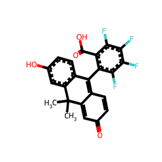 CC1(C)C2=CC(=O)C=CC2=C(c2c(F)c(F)c(F)c(F)c2C(=O)O)c2ccc(O)cc21